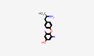 N[C@@H](Cc1ccc(Oc2c(I)cc(O)cc2I)cc1)C(=O)O